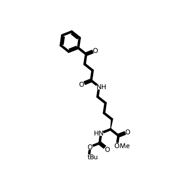 COC(=O)[C@H](CCCCNC(=O)CCC(=O)c1ccccc1)NC(=O)OC(C)(C)C